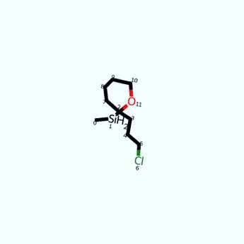 C[SiH2]C1(CCCCl)CCCCO1